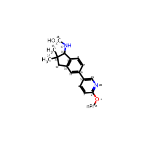 CCCOc1ccc(-c2ccc3c(c2)CC(C)(C)C3NC(=O)O)cn1